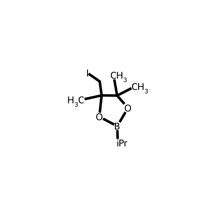 CC(C)B1OC(C)(C)C(C)(CI)O1